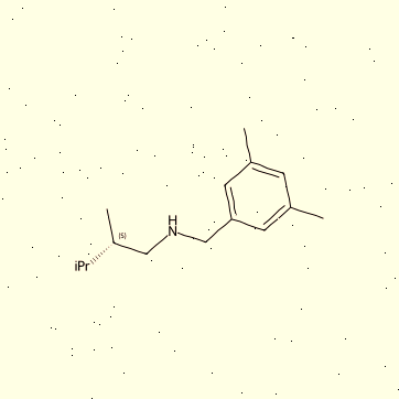 Cc1cc(C)cc(CNC[C@@H](C)C(C)C)c1